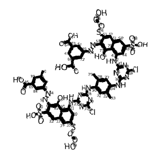 Cc1cc(N=Nc2c(S(=O)(=O)O)cc3cc(SOOO)cc(Nc4nc(Cl)nc(Nc5cc(C)c(Nc6nc(Cl)nc(Nc7cc(S(=O)(=O)O)cc8cc(SOOO)c(N=Nc9cc(C(=O)O)cc(C(=O)O)c9)c(O)c78)n6)cc5C)n4)c3c2O)cc(C(=O)O)c1